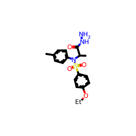 CCOc1ccc(S(=O)(=O)N(c2ccc(C)cc2)C(C)C(=O)NN)cc1